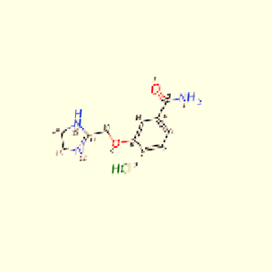 Cl.NC(=O)c1cccc(OCC2=NCCN2)c1